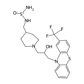 N[S+]([O-])NCC1CCN(CC(O)CN2c3ccccc3Sc3ccc(C(F)(F)F)cc32)CC1